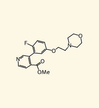 COC(=O)c1ccncc1-c1cc(OCCN2CCOCC2)ccc1F